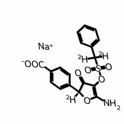 [2H]C([2H])(c1ccccc1)S(=O)(=O)OC1=C(N)O[C@]([2H])(c2ccc(C(=O)[O-])cc2)C1=O.[Na+]